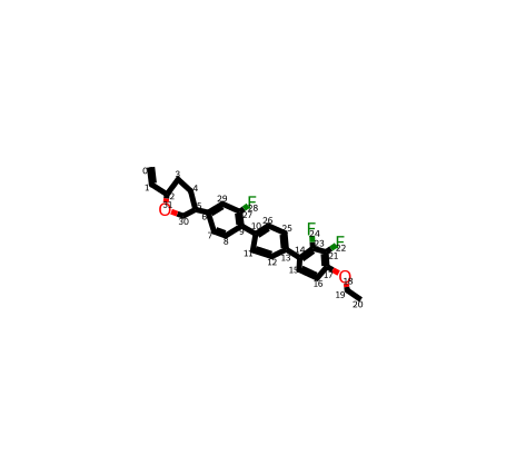 C=CC1CCC(c2ccc(-c3ccc(-c4ccc(OCC)c(F)c4F)cc3)c(F)c2)CO1